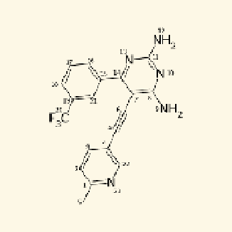 Cc1ccc(C#Cc2c(N)nc(N)nc2-c2cccc(C(F)(F)F)c2)cn1